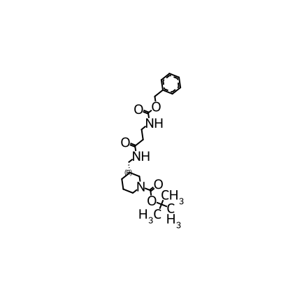 CC(C)(C)OC(=O)N1CCC[C@H](CNC(=O)CCNC(=O)OCc2ccccc2)C1